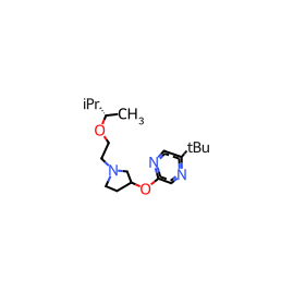 CC(C)[C@H](C)OCCN1CCC(Oc2cnc(C(C)(C)C)cn2)C1